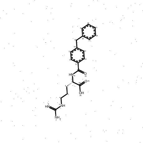 N=C(N)NCCC[C@H](NC(=O)c1ccc(Cc2ccccc2)cc1)C(=O)O